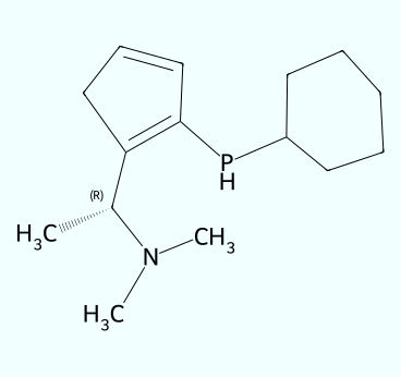 C[C@H](C1=C(PC2CCCCC2)C=CC1)N(C)C